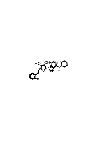 O[C@@H]1[C@H](O)[C@@H](C=Cc2ccccc2F)O[C@H]1n1cnc2c(NC3CCCCC3F)ncnc21